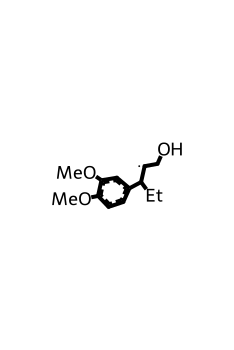 CCC([CH]CO)c1ccc(OC)c(OC)c1